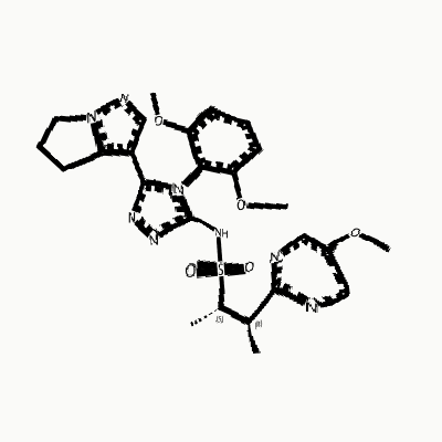 COc1cnc([C@@H](C)[C@H](C)S(=O)(=O)Nc2nnc(-c3cnn4c3CCC4)n2-c2c(OC)cccc2OC)nc1